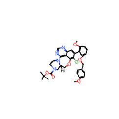 COc1ccc(COc2cccc(OC)c2-c2cc3ncnc4c3c(c2Cl)OC[C@@H]2CN(C(=O)OC(C)(C)C)CCN42)cc1